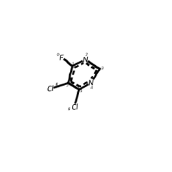 Fc1n[c]nc(Cl)c1Cl